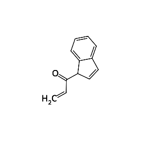 C=CC(=O)C1C=Cc2ccccc21